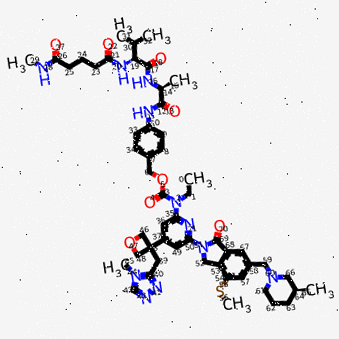 CCN(C(=O)OCc1ccc(NC(=O)[C@H](C)NC(=O)[C@@H](NC(=O)CCCC(=O)NC)C(C)C)cc1)c1cc(C2(Cc3nncn3C)COC2)cc(N2Cc3c(SC)cc(CN4CCC[C@H](C)C4)cc3C2=O)n1